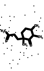 CC(=O)CCC1(C)CCC(C)C(C)C1=O